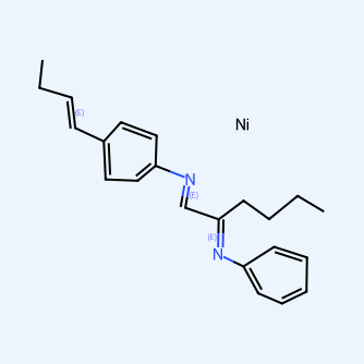 CC/C=C/c1ccc(/N=C/C(CCCC)=N/c2ccccc2)cc1.[Ni]